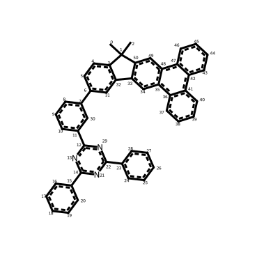 CC1(C)c2ccc(-c3cccc(-c4nc(-c5ccccc5)nc(-c5ccccc5)n4)c3)cc2-c2cc3c4ccccc4c4ccccc4c3cc21